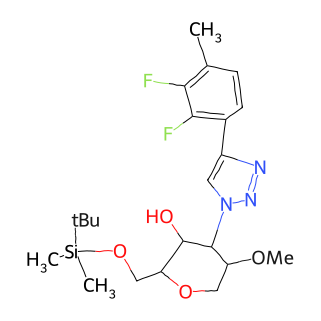 COC1COC(CO[Si](C)(C)C(C)(C)C)C(O)C1n1cc(-c2ccc(C)c(F)c2F)nn1